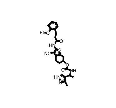 CCOc1ccccc1CCC(=O)Nc1sc2c(c1C#N)CCC(OC(=O)NC(C)c1c[nH]nc1C)C2